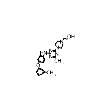 Cc1cccc(Oc2ccc(Nc3nc(C)nc(N4CCN(CCO)CC4)n3)cc2)c1